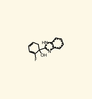 OC1(c2nc3ccccc3[nH]2)CC=CC=C1F